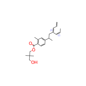 C=C/C=C(\C=C/C)CC(C)c1ccc(C(=O)OCC(C)(C)CO)c(C)c1